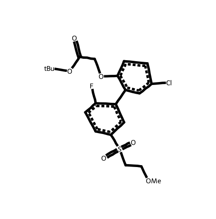 COCCS(=O)(=O)c1ccc(F)c(-c2cc(Cl)ccc2OCC(=O)OC(C)(C)C)c1